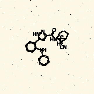 N#CN1CC2CCC1[C@@H]2NC(=O)c1cc(-c2ccccc2Nc2ccccc2)[nH]n1